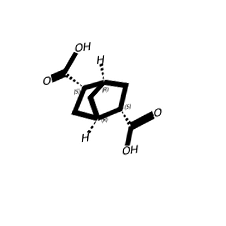 O=C(O)[C@H]1C[C@H]2C[C@@H]1C[C@@H]2C(=O)O